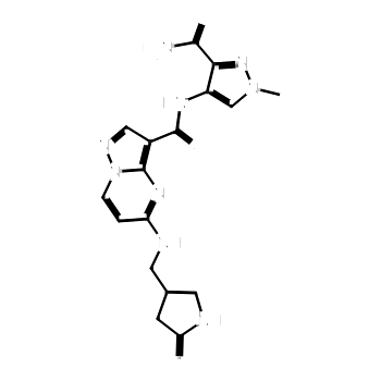 Cn1cc(NC(=O)c2cnn3ccc(NCC4CNC(=O)C4)nc23)c(C(N)=O)n1